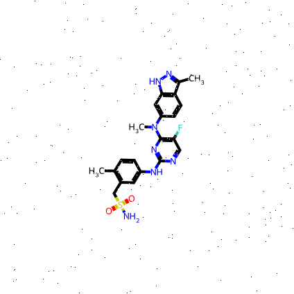 Cc1ccc(Nc2ncc(F)c(N(C)c3ccc4c(C)n[nH]c4c3)n2)cc1CS(N)(=O)=O